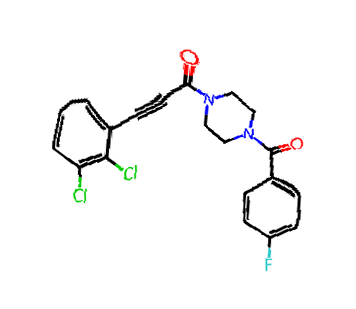 O=C(C#Cc1cccc(Cl)c1Cl)N1CCN(C(=O)c2ccc(F)cc2)CC1